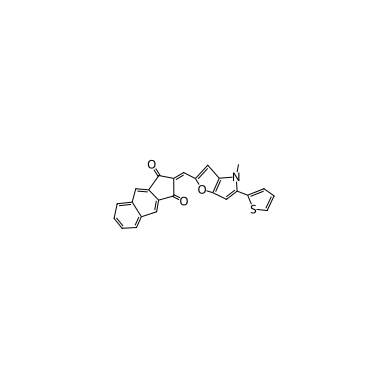 Cn1c(-c2cccs2)cc2oc(C=C3C(=O)c4cc5ccccc5cc4C3=O)cc21